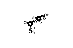 CCNc1cc(Cl)cc(COc2c(Br)cc(CC(=O)O)cc2Br)c1